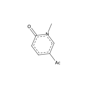 CC(=O)c1ccc(=O)n(C)c1